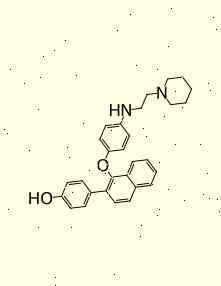 Oc1ccc(-c2ccc3ccccc3c2Oc2ccc(NCCN3CCCCC3)cc2)cc1